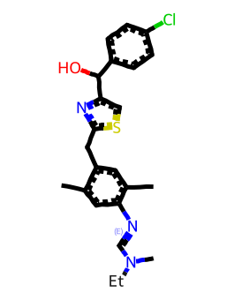 CCN(C)/C=N/c1cc(C)c(Cc2nc(C(O)c3ccc(Cl)cc3)cs2)cc1C